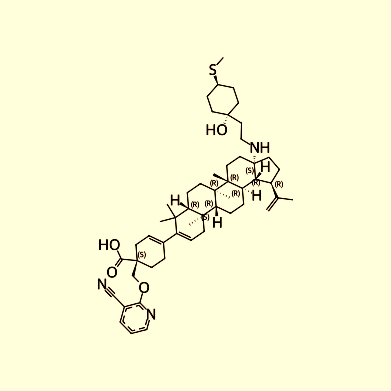 C=C(C)[C@@H]1CC[C@]2(NCC[C@]3(O)CC[C@H](SC)CC3)CC[C@]3(C)[C@H](CC[C@@H]4[C@@]5(C)CC=C(C6=CC[C@@](COc7ncccc7C#N)(C(=O)O)CC6)C(C)(C)[C@@H]5CC[C@]43C)[C@@H]12